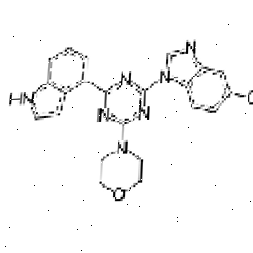 Clc1ccc2c(c1)ncn2-c1nc(-c2cccc3[nH]ccc23)nc(N2CCOCC2)n1